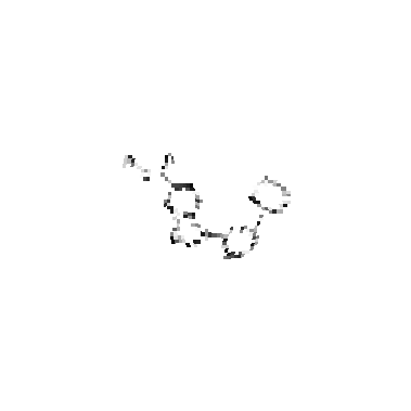 CC(C)OC(=O)c1ccc2c(c1)ncn2-c1cccc(-c2ccccc2)c1